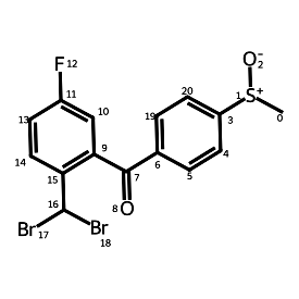 C[S+]([O-])c1ccc(C(=O)c2cc(F)ccc2C(Br)Br)cc1